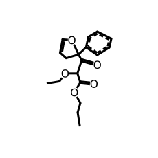 CCCOC(=O)C(OCC)C(=O)C1(c2ccccc2)CC=CO1